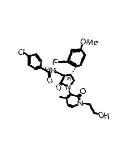 COc1ccc([C@@H]2CN(c3c(C)ccn(CCO)c3=O)C(=O)C2NC(=O)c2ccc(Cl)cc2)c(F)c1